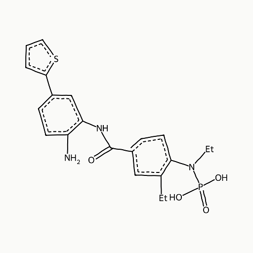 CCc1cc(C(=O)Nc2cc(-c3cccs3)ccc2N)ccc1N(CC)P(=O)(O)O